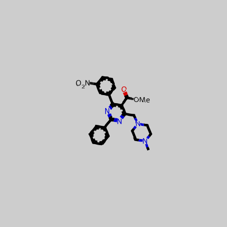 COC(=O)c1c(CN2CCN(C)CC2)nc(-c2ccccc2)nc1-c1cccc([N+](=O)[O-])c1